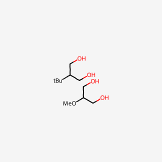 CC(C)(C)C(CO)CO.COC(CO)CO